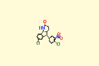 O=C1CCC2C(N1)c1ccc(Cl)cc1C2c1ccc(Cl)c([N+](=O)[O-])c1